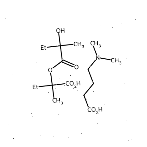 CCC(C)(O)C(=O)OC(C)(CC)C(=O)O.CN(C)CCCC(=O)O